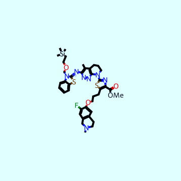 COC(=O)c1nc(N2CCCc3c2nnc(/N=c2\sc4ccccc4n2COCC[Si](C)(C)C)c3C)sc1CCCOc1cc2c(cc1F)CN(C)CC2